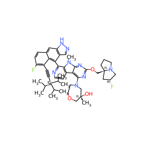 CC(C)[Si](C#Cc1c(F)ccc2cc3[nH]ncc3c(-c3nccc4c5c(N6CCOC[C@@](C)(O)C6)nc(OC[C@@]67CCCN6C[C@H](F)C7)nc5n(C)c34)c12)(C(C)C)C(C)C